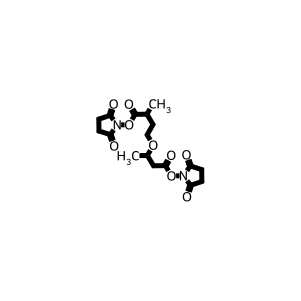 CC(CC(=O)ON1C(=O)CCC1=O)OCCC(C)C(=O)ON1C(=O)CCC1=O